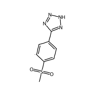 CS(=O)(=O)c1[c]cc(-c2nn[nH]n2)cc1